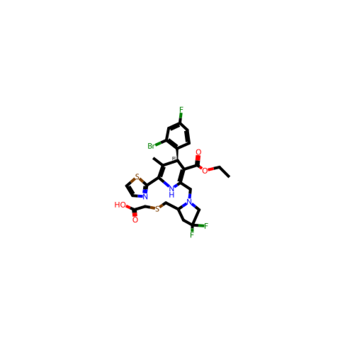 CCOC(=O)C1=C(CN2CC(F)(F)CC2CSCC(=O)O)NC(c2nccs2)=C(C)[C@H]1c1ccc(F)cc1Br